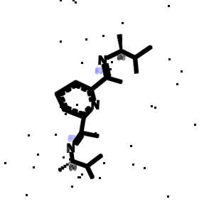 C/C(=N\[C@@H](C)C(C)C)c1cccc(/C(C)=N/[C@@H](C)C(C)C)n1